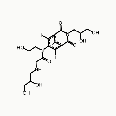 O=C1c2c(I)c(c(I)c(N(CCO)C(=O)CNCC(O)CO)c2I)C(=O)N1CC(O)CO